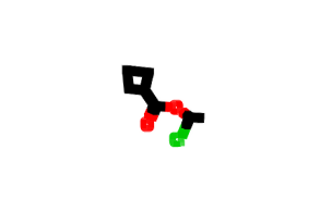 CC(Cl)OC(=O)C1CCC1